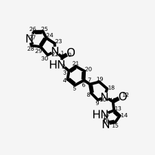 O=C(Nc1ccc(C2=CCN(C(=O)c3ccn[nH]3)CC2)cc1)N1Cc2ccncc2C1